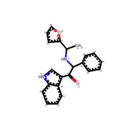 CC(NC(C(=O)c1c[nH]c2ccccc12)c1ccccc1)c1ccco1